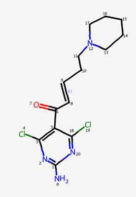 Nc1nc(Cl)c(C(=O)/C=C/CCN2CCCCC2)c(Cl)n1